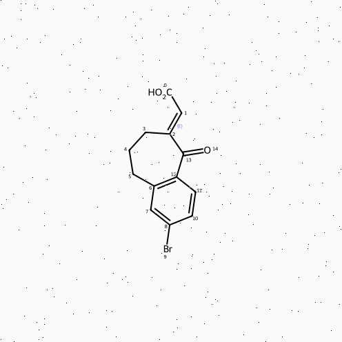 O=C(O)/C=C1\CCCc2cc(Br)ccc2C1=O